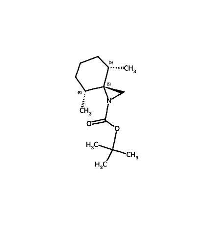 C[C@@H]1CCC[C@H](C)[C@@]12CN2C(=O)OC(C)(C)C